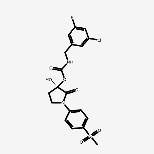 CS(=O)(=O)c1ccc(N2CC[C@@](O)(OC(=O)NCc3cc(F)cc(Cl)c3)C2=O)cc1